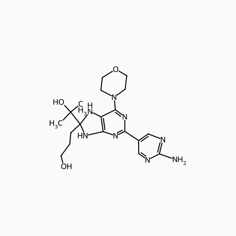 CC(C)(O)C1(CCCO)Nc2nc(-c3cnc(N)nc3)nc(N3CCOCC3)c2N1